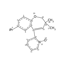 CC(C)c1ccc2c(c1)C(c1cccc[n+]1[O-])=CC(C)(C)CO2